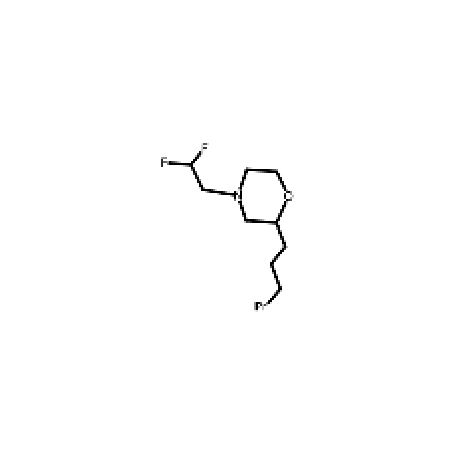 CC(C)CCCC1CN(CC(F)F)CCO1